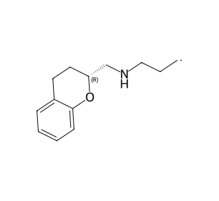 [CH2]CCNC[C@H]1CCc2ccccc2O1